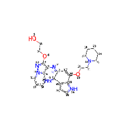 N=C1/C(=N\c2c(OCCO)nn3ccccc23)C=C(OCCN2CCCCC2)c2[nH]ccc21